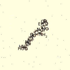 CC[C@@]1(O)C(=O)OCc2c1cc1n(c2=O)Cc2c-1nc1ccc(OC(=O)N3CCN(c4ncc(C(=O)NO)cn4)CC3)cc1c2N